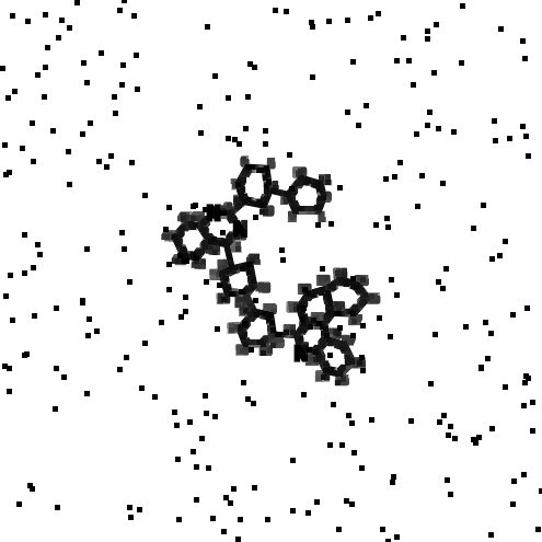 c1ccc(-c2cccc(-c3nc(-c4ccc(-c5cccc(-c6nc7ccccc7c7c6ccc6ccccc67)c5)cc4)c4ccccc4n3)c2)cc1